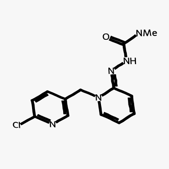 CNC(=O)NN=c1ccccn1Cc1ccc(Cl)nc1